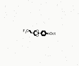 CCCCCCCCc1ccc([C@H]2OC[C@H](CCC(F)(F)F)CO2)cc1